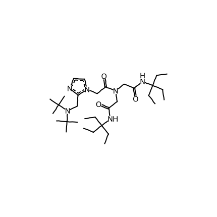 CCC(CC)(CC)NC(=O)CN(CC(=O)NC(CC)(CC)CC)C(=O)Cn1ccnc1CN(C(C)(C)C)C(C)(C)C